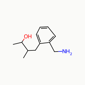 CC(O)C(C)Cc1ccccc1CN